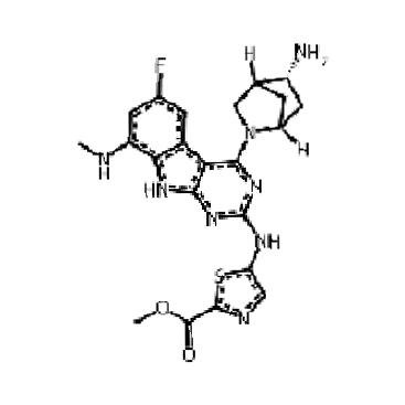 CNc1cc(F)cc2c1[nH]c1nc(Nc3cnc(C(=O)OC)s3)nc(N3C[C@H]4C[C@@H]3C[C@H]4N)c12